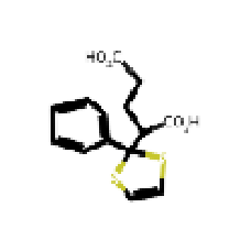 O=C(O)CCC(C(=O)O)C1(c2ccccc2)SC=CS1